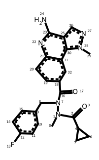 CN(C(=O)C1CC1)N(Cc1ccc(F)cc1)C(=O)c1ccc2nc(N)c3cnn(C)c3c2c1